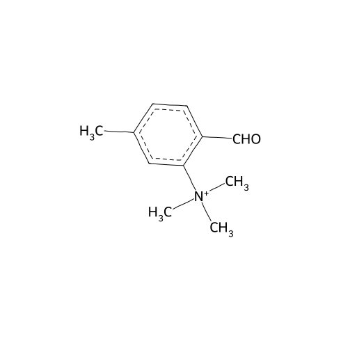 Cc1ccc(C=O)c([N+](C)(C)C)c1